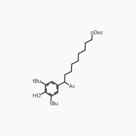 CCCCCCCCCCCCCCCCCCC(C(C)=O)c1cc(C(C)(C)C)c(O)c(C(C)(C)C)c1